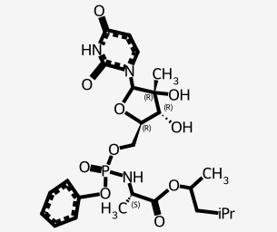 CC(C)CC(C)OC(=O)[C@H](C)NP(=O)(OC[C@H]1OC(n2ccc(=O)[nH]c2=O)[C@](C)(O)[C@@H]1O)Oc1ccccc1